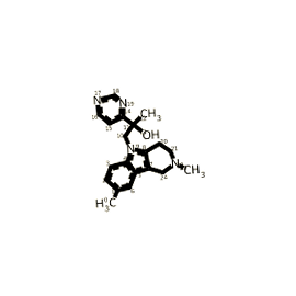 Cc1ccc2c(c1)c1c(n2CC(C)(O)c2ccncn2)CCN(C)C1